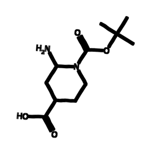 CC(C)(C)OC(=O)N1CCC(C(=O)O)CC1N